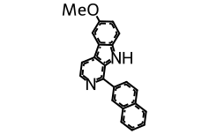 COc1ccc2[nH]c3c(-c4ccc5ccccc5c4)nccc3c2c1